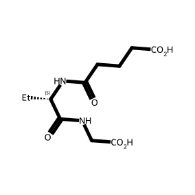 CC[C@H](NC(=O)CCCC(=O)O)C(=O)NCC(=O)O